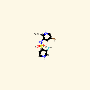 COc1ncc(Br)cc1NS(=O)(=O)c1ccncc1F